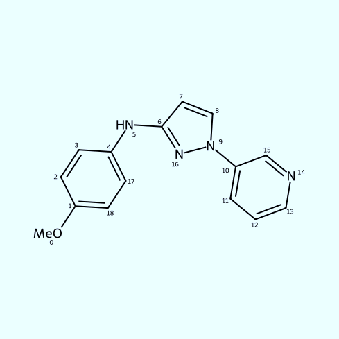 COc1ccc(Nc2ccn(-c3cccnc3)n2)cc1